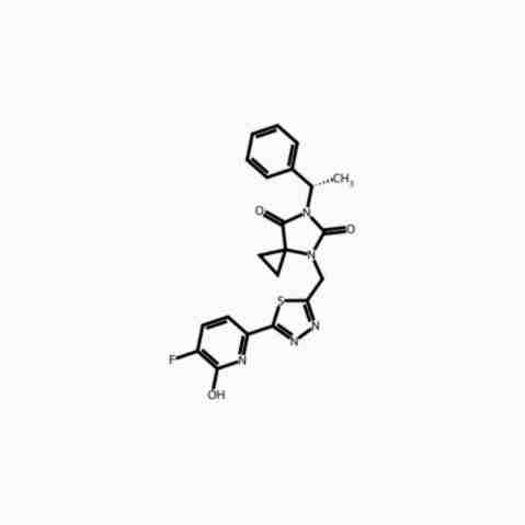 C[C@@H](c1ccccc1)N1C(=O)N(Cc2nnc(-c3ccc(F)c(O)n3)s2)C2(CC2)C1=O